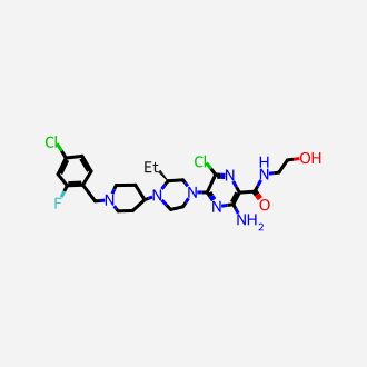 CC[C@H]1CN(c2nc(N)c(C(=O)NCCO)nc2Cl)CCN1C1CCN(Cc2ccc(Cl)cc2F)CC1